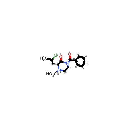 C=C(Cl)C[C@H]1C(=O)N(C(=O)c2ccccc2)CCN1C(=O)O